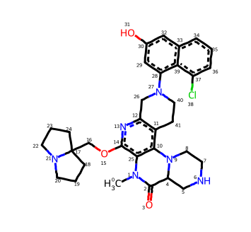 CN1C(=O)C2CNCCN2c2c3c(nc(OCC45CCCN4CCC5)c21)CN(c1cc(O)cc2cccc(Cl)c12)CC3